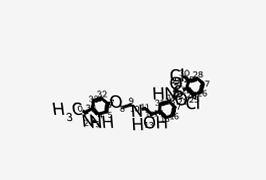 Cc1n[nH]c2cc(OCCNC[C@H](O)c3cccc(NS(=O)(=O)c4c(Cl)cccc4Cl)c3)ccc12